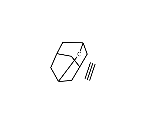 C#C.C1C2CC3CC1CC(C2)C3